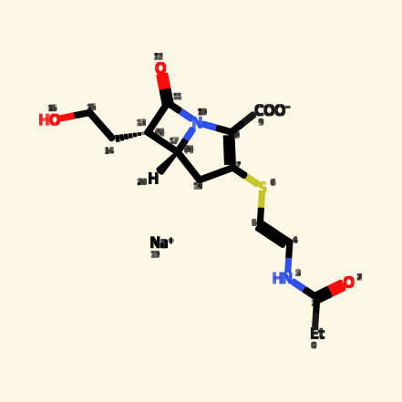 CCC(=O)NC=CSC1=C(C(=O)[O-])N2C(=O)[C@@H](CCO)[C@H]2C1.[Na+]